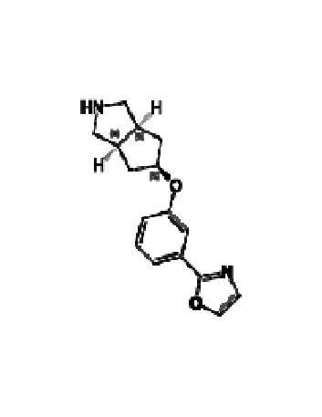 c1cc(O[C@H]2C[C@H]3CNC[C@H]3C2)cc(-c2ncco2)c1